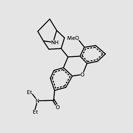 CCN(CC)C(=O)c1ccc2c(c1)Oc1cccc(OC)c1C2C1CC2CCC(C1)N2